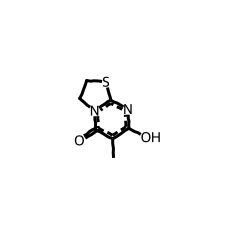 Cc1c(O)nc2n(c1=O)CCS2